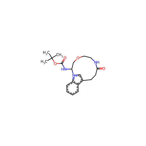 CC(C)(C)OC(=O)NC1COCCNC(=O)CCc2cn1c1ccccc21